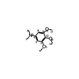 COc1cc(N(C)C)cc(OC)c1OC